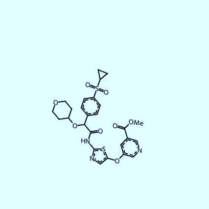 COC(=O)c1cncc(Oc2cnc(NC(=O)C(OC3CCOCC3)c3ccc(S(=O)(=O)C4CC4)cc3)s2)c1